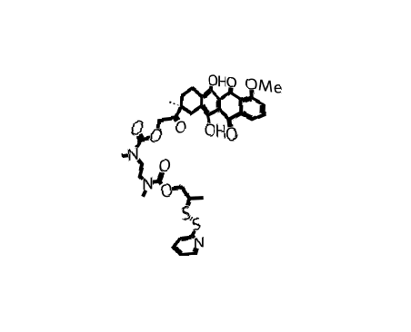 COc1cccc2c1C(=O)c1c(O)c3c(c(O)c1C2=O)C[C@@](C)(C(=O)COC(=O)N(C)CCN(C)C(=O)OCC(C)SSc1ccccn1)CC3